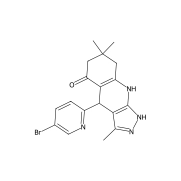 Cc1n[nH]c2c1C(c1ccc(Br)cn1)C1=C(CC(C)(C)CC1=O)N2